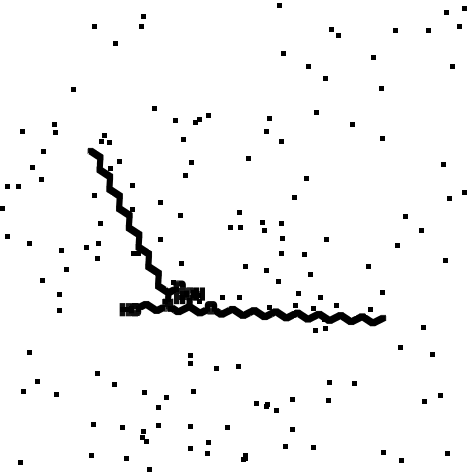 CCCCCCCCCCCCCCCCOCC(O)CN(CCO)C(O)CCCCCCCCCCCCCCC